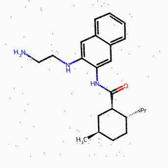 CC(C)[C@@H]1CC[C@@H](C)C[C@H]1C(=O)Nc1cc2ccccc2cc1NCCN